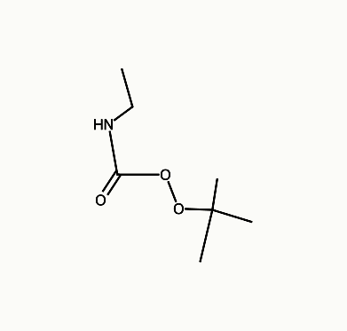 CCNC(=O)OOC(C)(C)C